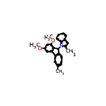 COc1cc(OC)c2c(c1)-c1cc(C)ccc1C2n1c(C)cc2ccccc21